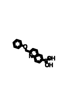 OB(O)c1ccc2nc(COc3ccccc3)ccc2c1